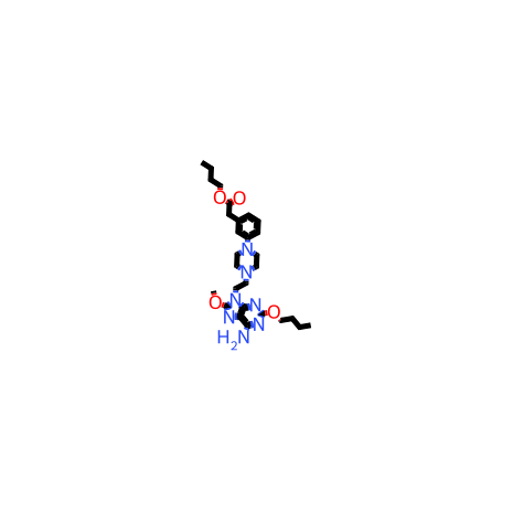 CCCCOC(=O)Cc1cccc(N2CCN(CCn3c(OC)nc4c(N)nc(OCCCC)nc43)CC2)c1